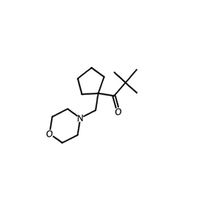 CC(C)(C)C(=O)C1(CN2CCOCC2)CCCC1